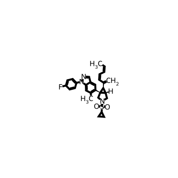 C=C(/C=C\C=C/C)[C@H]1[C@@H]2CN(S(=O)(=O)C3CC3)C[C@@]21c1cc2cnn(-c3ccc(F)cc3)c2cc1C